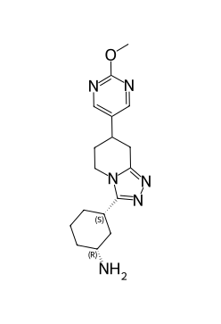 COc1ncc(C2CCn3c(nnc3[C@H]3CCC[C@@H](N)C3)C2)cn1